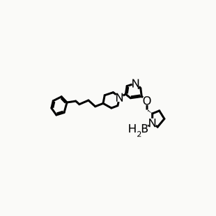 BN1CCC[C@H]1COc1cncc(N2CCC(CCCCc3ccccc3)CC2)c1